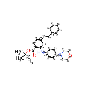 CC(C)(C)OC(=O)c1ccc(CCc2ccccc2)cc1Nc1ccc(N2CCOCC2)cc1